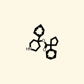 O=C(OC1(c2ccccc2)CCNCC1)C1(c2ccccc2)CCCC1